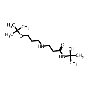 CC(C)(C)NC(=O)CCNCCCOC(C)(C)C